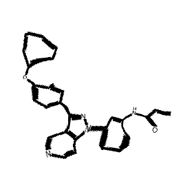 C=CC(=O)Nc1cccc(-n2nc(-c3ccc(Oc4ccccc4)cc3)c3cnccc32)c1